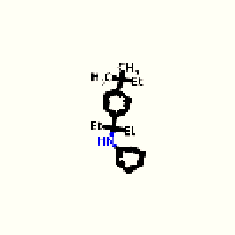 CCC(C)(C)c1ccc(C(CC)(CC)Nc2ccccc2)cc1